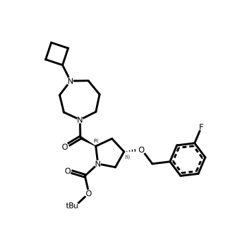 CC(C)(C)OC(=O)N1C[C@@H](OCc2cccc(F)c2)C[C@@H]1C(=O)N1CCCN(C2CCC2)CC1